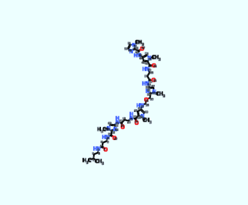 CC(C)CCNC(=O)CCNC(=O)c1nc(NC(=O)CCNC(=O)c2cc(NCOCc3nc(NC(=O)CCNC(=O)c4cc(NC(=O)c5nccn5C)cn4C)cn3C)cn2C)cn1C